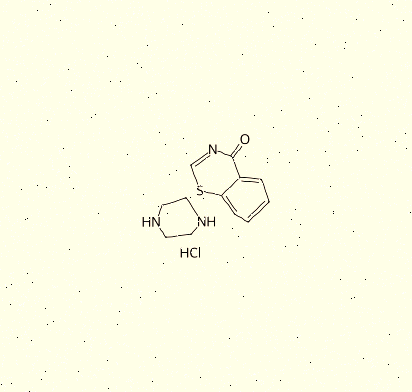 C1CNCCN1.Cl.O=c1ncsc2ccccc12